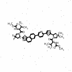 COC(=O)NC(C(=O)N1CC(F)(F)C[C@H]1c1nc2ccc3cc(-c4ccc(-c5cnc(C6C[Si](C)(C)CN6C(=O)[C@@H](NC(=O)OC)C(C)C)[nH]5)nc4)ccc3c2[nH]1)C(C)C